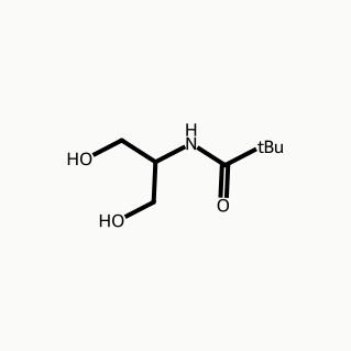 CC(C)(C)C(=O)NC(CO)CO